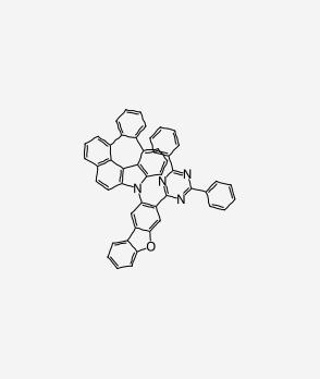 c1ccc(-c2nc(-c3ccccc3)nc(-c3cc4oc5ccccc5c4cc3-n3c4cccc5c4c4c6c(cccc6ccc43)-c3ccccc3-5)n2)cc1